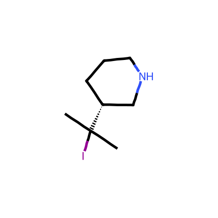 CC(C)(I)[C@@H]1CCCNC1